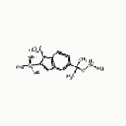 CCC[CH2][Sn]([CH2]CCC)([CH2]CCC)[c]1cc2cc(C(C)(C)O[SiH2]C(C)(C)C)ccc2n1C(=O)O